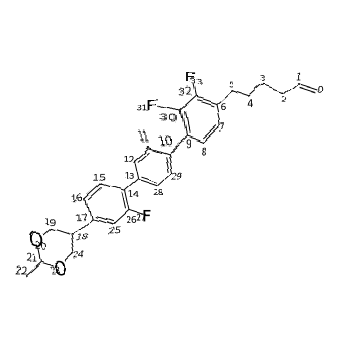 C=CCCCCc1ccc(-c2ccc(-c3ccc(C4COC(C)OC4)cc3F)cc2)c(F)c1F